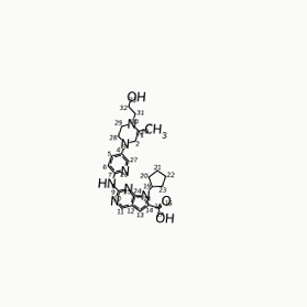 C[C@H]1CN(c2ccc(Nc3ncc4cc(C(=O)O)n(C5CCCC5)c4n3)nc2)CCN1CCO